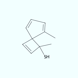 CC1=CC=CC12C=CC2(C)S